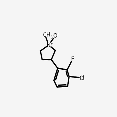 C[N+]1([O-])CCC(c2cccc(Cl)c2F)C1